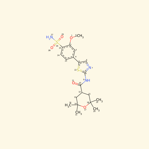 COc1cc(-c2cnc(NC(=O)C3CC(C)(C)OC(C)(C)C3)s2)ccc1S(N)(=O)=O